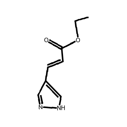 CCOC(=O)/C=C/c1cn[nH]c1